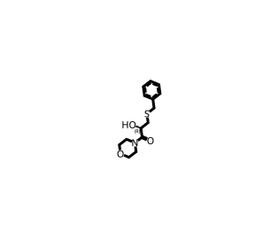 O=C([C@@H](O)CSCc1ccccc1)N1CCOCC1